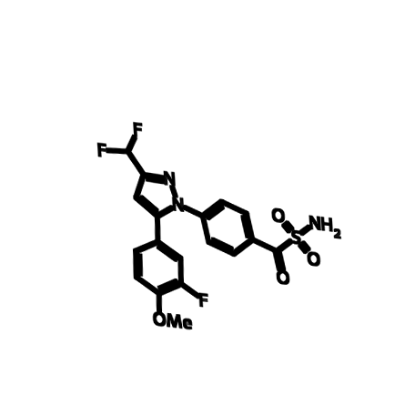 COc1ccc(-c2cc(C(F)F)nn2-c2ccc(C(=O)S(N)(=O)=O)cc2)cc1F